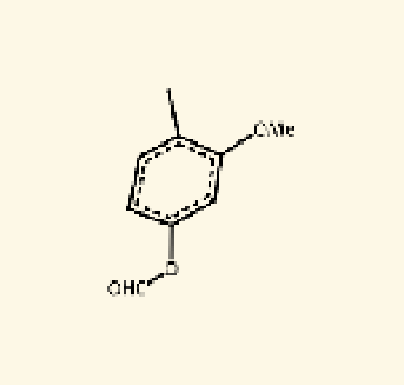 COc1cc(OC=O)ccc1C